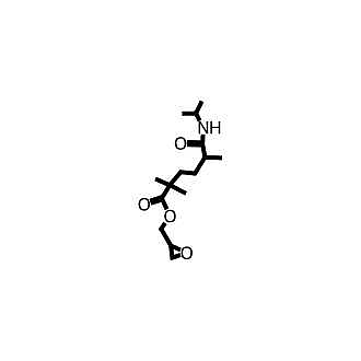 CC(C)NC(=O)C(C)CCC(C)(C)C(=O)OCC1CO1